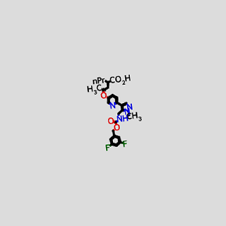 CCCC(C[C@H](C)Oc1ccc(-c2cnn(C)c2CNC(=O)OCc2cc(F)cc(F)c2)nc1)C(=O)O